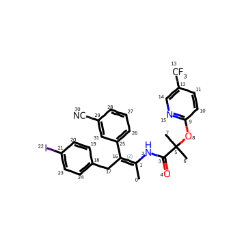 C/C(NC(=O)C(C)(C)Oc1ccc(C(F)(F)F)cn1)=C(\Cc1ccc(I)cc1)c1cccc(C#N)c1